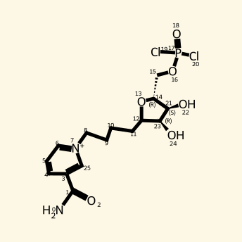 NC(=O)c1ccc[n+](CCCCC2O[C@H](COP(=O)(Cl)Cl)[C@@H](O)[C@H]2O)c1